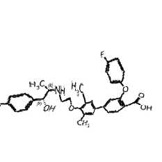 Cc1cc(-c2ccc(C(=O)O)c(Oc3ccc(F)cc3)c2)cc(C)c1OCCN[C@H](C)[C@H](O)c1ccc(O)cc1